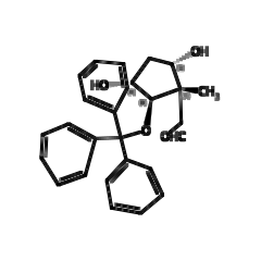 C[C@]1(CC=O)[C@@H](O)C[C@@H](O)[C@@H]1OC(c1ccccc1)(c1ccccc1)c1ccccc1